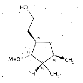 [2H][C@]1(C)[C@H](C)C[C@H](CCO)[C@H]1OC